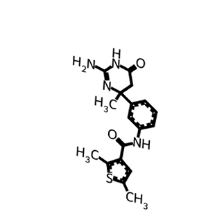 Cc1cc(C(=O)Nc2cccc(C3(C)CC(=O)NC(N)=N3)c2)c(C)s1